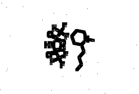 CCCCC1CCCCN1C.O=S(=O)(NS(=O)(=O)C(F)(F)F)C(F)(F)F